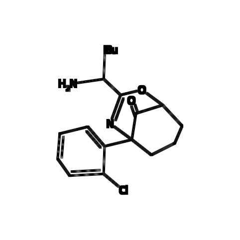 CCC(C)C(N)C1=NC2(c3ccccc3Cl)CCCC(O1)C2=O